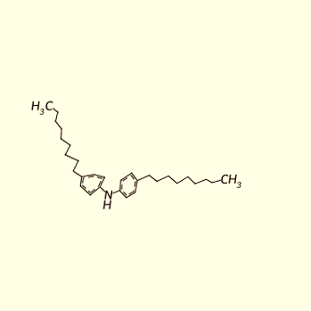 CCCCCCCCCc1ccc(Nc2ccc(CCCCCCCCC)cc2)cc1